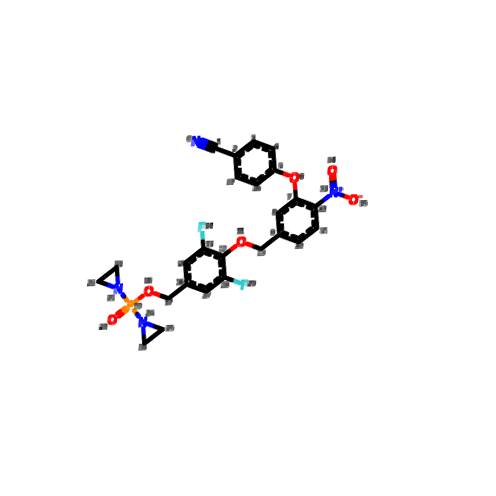 N#Cc1ccc(Oc2cc(COc3c(F)cc(COP(=O)(N4CC4)N4CC4)cc3F)ccc2[N+](=O)[O-])cc1